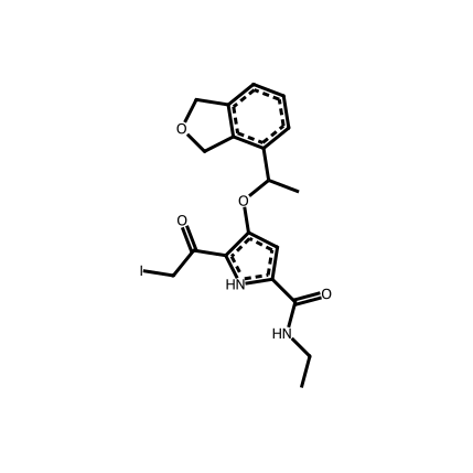 CCNC(=O)c1cc(OC(C)c2cccc3c2COC3)c(C(=O)CI)[nH]1